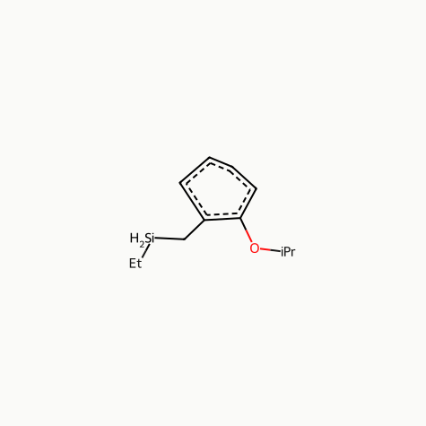 CC[SiH2]Cc1ccccc1OC(C)C